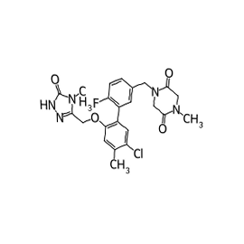 Cc1cc(OCc2n[nH]c(=O)n2C)c(-c2cc(CN3CC(=O)N(C)CC3=O)ccc2F)cc1Cl